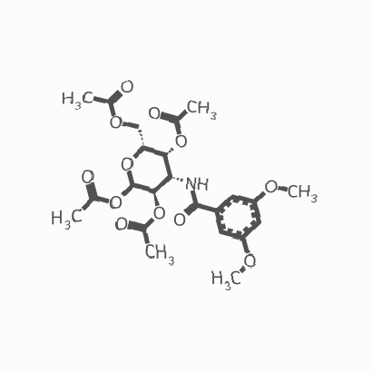 COc1cc(OC)cc(C(=O)N[C@H]2[C@@H](OC(C)=O)[C@@H](COC(C)=O)OC(OC(C)=O)[C@@H]2OC(C)=O)c1